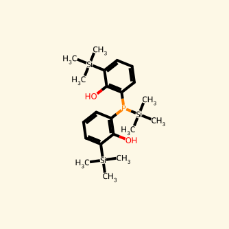 C[Si](C)(C)c1cccc(P(c2cccc([Si](C)(C)C)c2O)[Si](C)(C)C)c1O